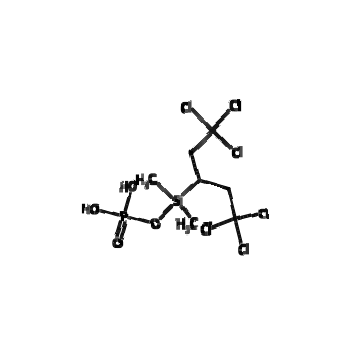 C[Si](C)(OP(=O)(O)O)C(CC(Cl)(Cl)Cl)CC(Cl)(Cl)Cl